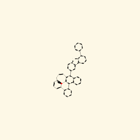 C1#Cc2c(c(-c3ccc4oc5c(-c6ccccc6)cccc5c4c3)c3ccccc3c2-c2ccccc2C2=CC=CCC2)C=CC1